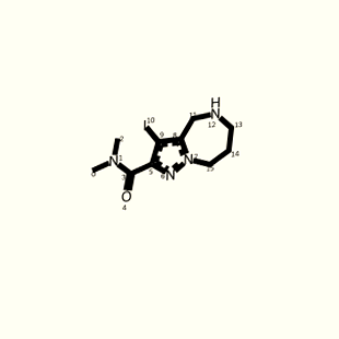 CN(C)C(=O)c1nn2c(c1I)CNCCC2